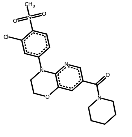 CS(=O)(=O)c1ccc(N2CCOc3cc(C(=O)N4CCCCC4)cnc32)cc1Cl